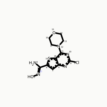 N/C(=N\O)c1cc2nc(Cl)nc(N3CCOCC3)c2s1